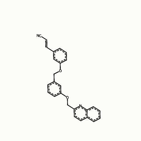 N#CC=Cc1cccc(OCc2cccc(OCc3ccc4ccccc4n3)c2)c1